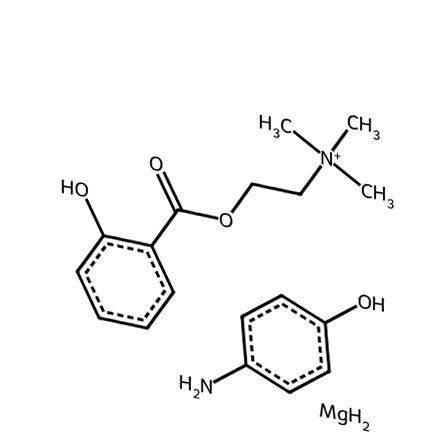 C[N+](C)(C)CCOC(=O)c1ccccc1O.Nc1ccc(O)cc1.[MgH2]